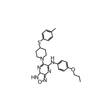 CCCOc1ccc(NC2=NC3=NONC3N=C2N2CCC(Sc3ccc(C)cc3)CC2)cc1